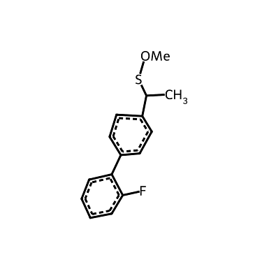 COSC(C)c1ccc(-c2ccccc2F)cc1